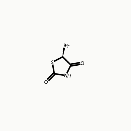 CC(C)[C@@H]1SC(=O)NC1=O